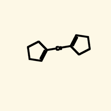 C1=[C]([Co][C]2=CCCC2)CCC1